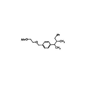 COCCOCc1ccc(C(C)C(C)CC(C)C)cc1